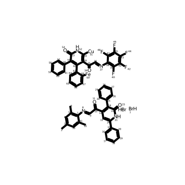 Br.Br.Cc1cc(C)c(N=CC(=O)c2cc(-c3ccccc3)[nH]c(=O)c2-c2ccccc2)c(C)c1.O=C(C=Nc1c(F)c(F)c(F)c(F)c1F)c1[c]([Cu])[nH]c(=O)c(-c2ccccc2)c1-c1cccc[c]1[Fe]